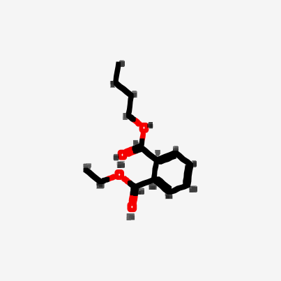 CCCCOC(=O)c1ccccc1C(=O)OCC